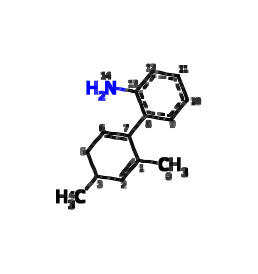 CC1=CC(C)CC=C1c1ccccc1N